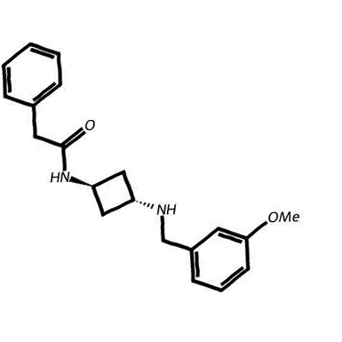 COc1cccc(CN[C@H]2C[C@H](NC(=O)Cc3ccccc3)C2)c1